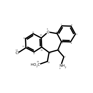 NCC1c2ccccc2Oc2ccc(Cl)cc2C1CC(=O)O